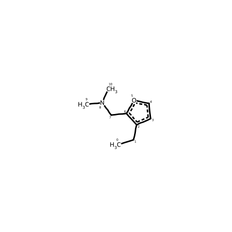 CCc1ccoc1CN(C)C